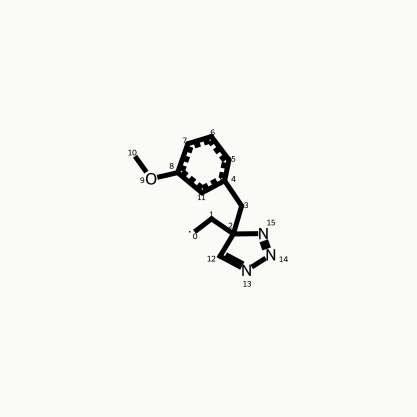 [CH2]CC1(Cc2cccc(OC)c2)C=NN=N1